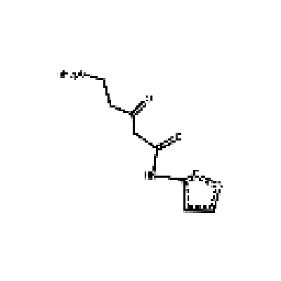 CCCCCCCCCC(=O)CC(=O)Nc1ccno1